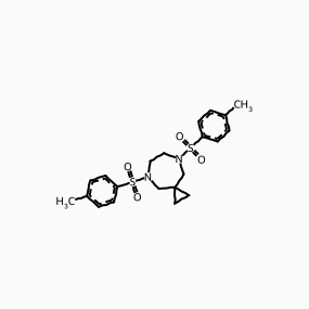 Cc1ccc(S(=O)(=O)N2CCN(S(=O)(=O)c3ccc(C)cc3)CC3(CC3)C2)cc1